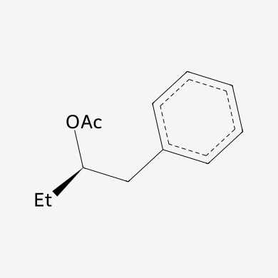 CC[C@H](Cc1ccccc1)OC(C)=O